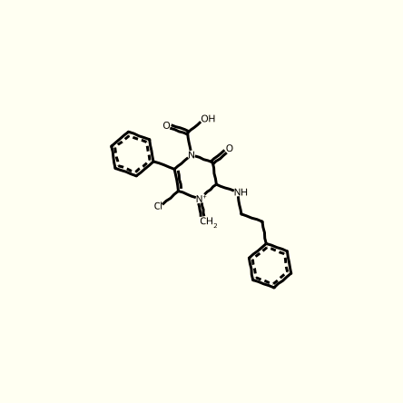 C=[N+]1C(Cl)=C(c2ccccc2)N(C(=O)O)C(=O)C1NCCc1ccccc1